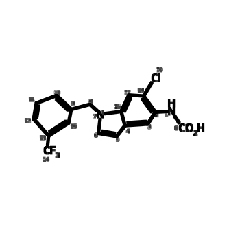 O=C(O)Nc1cc2ccn(Cc3cccc(C(F)(F)F)c3)c2cc1Cl